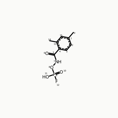 Cc1ccc(C(=O)NOP(=O)(O)F)c(C)c1